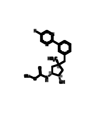 CC(C)(C)OC(=O)N[C@@H]1C[C@@](Cc2cccc(-c3ncc(F)cn3)c2)(C(=O)O)C[C@@H]1O